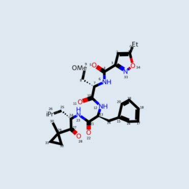 CCc1cc(C(=O)N[C@@H](COC)C(=O)N[C@@H](Cc2ccccc2)C(=O)N[C@@H](CC(C)C)C(=O)C2(C)CC2)no1